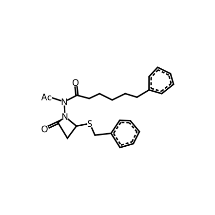 CC(=O)N(C(=O)CCCCCc1ccccc1)N1C(=O)CC1SCc1ccccc1